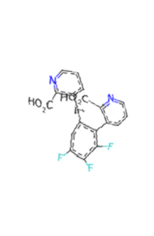 O=C(O)c1nccc[c]1[Ir+][c]1cc(F)c(F)c(F)c1-c1cccnc1C(=O)O